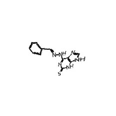 S=c1nc(NN=Cc2ccccc2)c2nc[nH]c2[nH]1